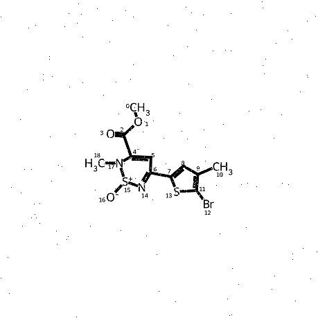 COC(=O)C1=CC(c2cc(C)c(Br)s2)=N[S+]([O-])N1C